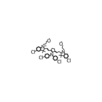 COCCCN1c2ccc(Cl)cc2C(C)(C)C1C/C=C1\CCC(/C=C/C2=[N+](CCCOC)c3ccc(Cl)cc3C2(C)C)=C1N(c1ccc(Cl)cc1)c1ccc(Cl)cc1